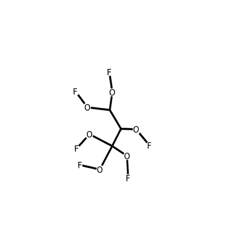 FO[C](C(OF)OF)C(OF)(OF)OF